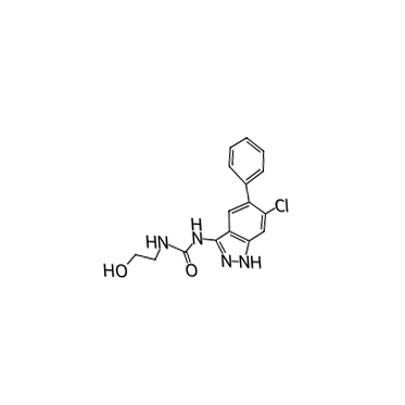 O=C(NCCO)Nc1n[nH]c2cc(Cl)c(-c3ccccc3)cc12